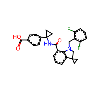 O=C(O)c1ccc(C2(NC(=O)c3cccc4c3N(Cc3c(F)cccc3F)CC43CC3)CC2)cc1